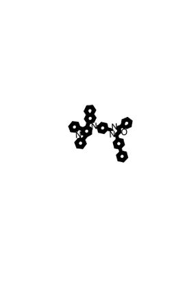 c1ccc(-c2ccc(-c3nc(-c4ccc(-n5c6cc7ccccc7cc6c6c7c8ccccc8n8c9ccccc9c(cc65)c78)cc4)nc4c3oc3ccccc34)cc2)cc1